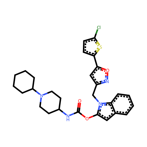 O=C(NC1CCN(C2CCCCC2)CC1)Oc1cc2ccccc2n1Cc1cc(-c2ccc(Cl)s2)on1